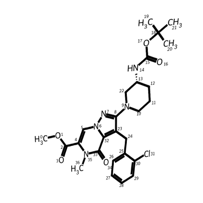 COC(=O)c1cn2nc(N3CCC[C@@H](NC(=O)OC(C)(C)C)C3)c(Cc3ccccc3Cl)c2c(=O)n1C